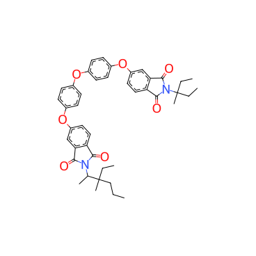 CCCC(C)(CC)C(C)N1C(=O)c2ccc(Oc3ccc(Oc4ccc(Oc5ccc6c(c5)C(=O)N(C(C)(CC)CC)C6=O)cc4)cc3)cc2C1=O